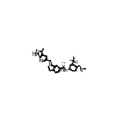 Cc1n[nH]c2ncc(CN3CCc4ccc(C(=O)Nc5ccc(CN(C)C)c(C(F)(F)F)c5)cc43)cc12